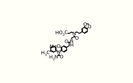 COc1cc(CC(=O)NCC(=O)N(CCC(=O)O)CCc2ccc3c(c2)OCO3)ccc1N(C(N)=O)c1cccc(C)c1